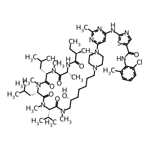 CC[C@@H](C)C(=O)N[C@H](C)C(=O)N(C)[C@@H](CC(C)C)C(=O)N(C)[C@@H](CC(C)C)C(=O)N(C)[C@H](C(=O)N(C)C[C@H](O)CCCCCN1CCN(c2cc(Nc3ncc(C(=O)Nc4c(C)cccc4Cl)s3)nc(C)n2)CC1)C(C)C